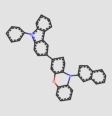 c1ccc(-n2c3ccccc3c3cc(-c4ccc5c(c4)Oc4ccccc4N5c4ccc5ccccc5c4)ccc32)cc1